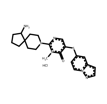 Cl.Cn1c(N2CCC3(CCCC3N)CC2)ncc(Sc2ccn3nccc3c2)c1=O